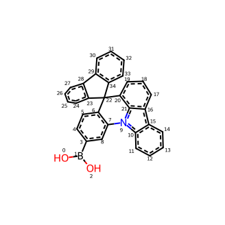 OB(O)c1ccc2c(c1)-n1c3ccccc3c3cccc(c31)C21c2ccccc2-c2ccccc21